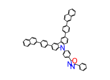 c1ccc(-c2nnc(-c3ccc(-n4c5ccc(-c6ccc(-c7ccc8ccccc8c7)cc6)cc5c5cc(-c6ccc(-c7ccc8ccccc8c7)cc6)ccc54)cc3)o2)cc1